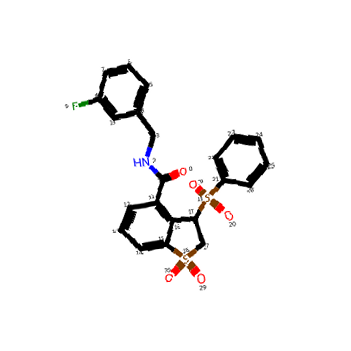 O=C(NCc1cccc(F)c1)c1cccc2c1C(S(=O)(=O)c1ccccc1)CS2(=O)=O